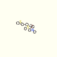 C1=CCCC(S(c2ccccc2)(c2cccc(-c3ccc4c(c3)sc3ccccc34)c2)c2cccc3c2c2ccccc2n3-c2ccccc2)=C1